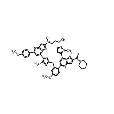 CCCC[S+]([O-])c1cc2nc(-c3ccc(OC)cc3)cc(-c3cn(Cc4cc(OC)ccc4-c4cc(-c5cccn5C)n5nc(C(=O)N6CCCCC6)cc5n4)nc3C)n2n1